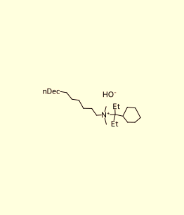 CCCCCCCCCCCCCCCC[N+](C)(C)C(CC)(CC)C1CCCCC1.[OH-]